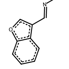 O/N=C/c1coc2ccccc12